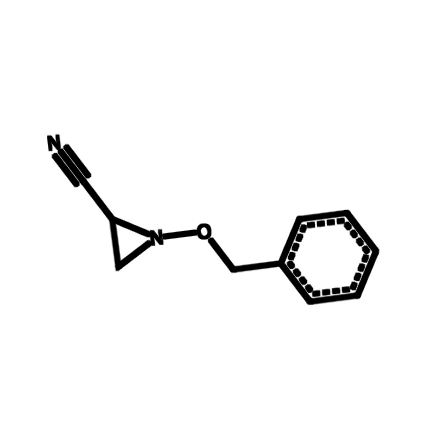 N#CC1CN1OCc1ccccc1